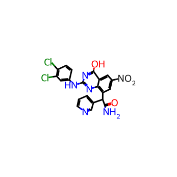 NC(=O)C(c1cccnc1)c1cc([N+](=O)[O-])cc2c(O)nc(Nc3ccc(Cl)c(Cl)c3)nc12